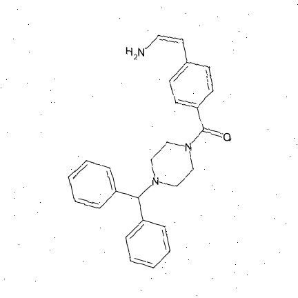 N/C=C\c1ccc(C(=O)N2CCN(C(c3ccccc3)c3ccccc3)CC2)cc1